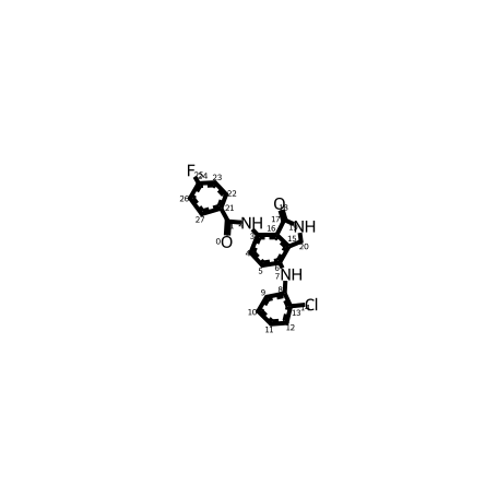 O=C(Nc1ccc(Nc2ccccc2Cl)c2c1C(=O)NC2)c1ccc(F)cc1